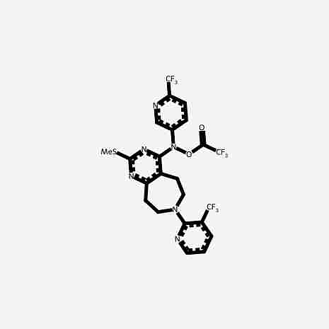 CSc1nc2c(c(N(OC(=O)C(F)(F)F)c3ccc(C(F)(F)F)nc3)n1)CCN(c1ncccc1C(F)(F)F)CC2